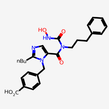 CCCCc1ncc(C(=O)N(CCCc2ccccc2)C(=O)NO)n1Cc1ccc(C(=O)O)cc1